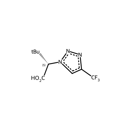 CC(C)(C)[C@@H](C(=O)O)n1cc(C(F)(F)F)nn1